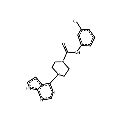 O=C(Nc1cccc(Cl)c1)N1CCN(c2ncnc3[nH]ccc23)CC1